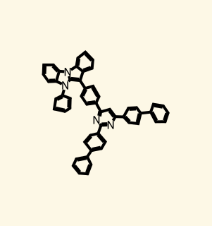 c1ccc(-c2ccc(-c3cc(-c4ccc(-c5c6ccccc6n6c7ccccc7n(-c7ccccc7)c56)cc4)nc(-c4ccc(-c5ccccc5)cc4)n3)cc2)cc1